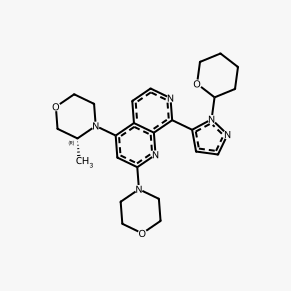 C[C@@H]1COCCN1c1cc(N2CCOCC2)nc2c(-c3ccnn3C3CCCCO3)nccc12